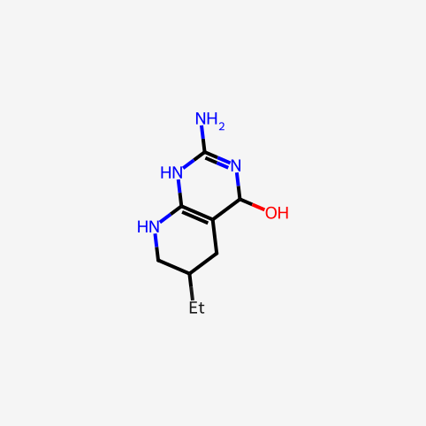 [CH2]CC1CNC2=C(C1)C(O)N=C(N)N2